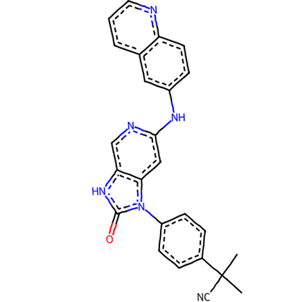 CC(C)(C#N)c1ccc(-n2c(=O)[nH]c3cnc(Nc4ccc5ncccc5c4)cc32)cc1